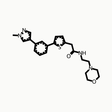 Cn1cc(-c2cccc(-c3ccc(CC(=O)NCCN4CCOCC4)s3)c2)cn1